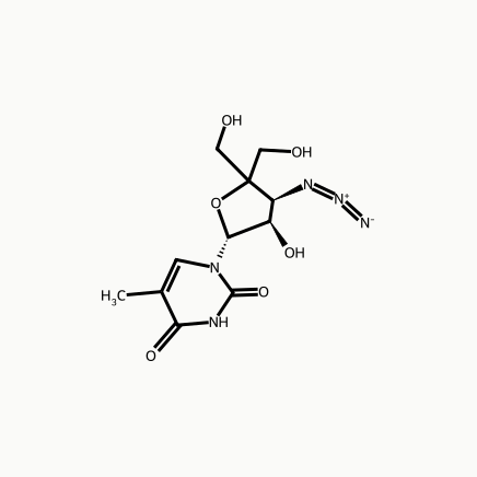 Cc1cn([C@@H]2OC(CO)(CO)[C@@H](N=[N+]=[N-])[C@H]2O)c(=O)[nH]c1=O